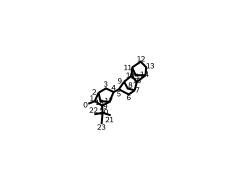 CC1C2CC(C3CC4CC3C3C5CCC(C5)C43)C(C2)C1C(C)(C)C